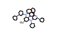 CC(C)(C)c1cc(N(c2ccccc2)c2cccc(-c3ccccc3)c2)c(-c2ccccc2)c(N(c2ccccc2)c2cc(-c3ccccc3)nc(-c3ccccc3)c2)c1